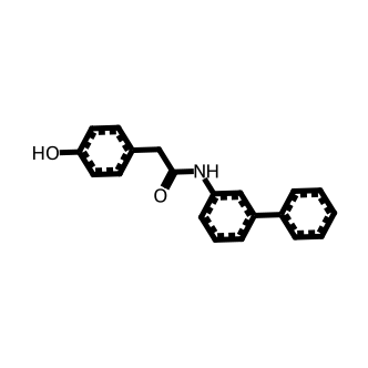 O=C(Cc1ccc(O)cc1)Nc1cccc(-c2ccccc2)c1